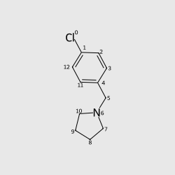 Clc1ccc(CN2CCCC2)cc1